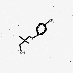 CC(C)(CO)CSc1ccc(C(F)(F)F)cc1